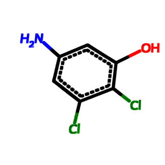 Nc1cc(O)c(Cl)c(Cl)c1